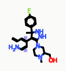 C=C/C=C(\C=C/N)C1=C(N2CCN(C)C(CO)C2)NNC1(C)c1ccc(F)cc1